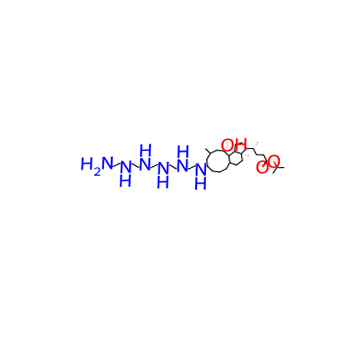 CC1C[C@@H](NCCNCCNCCNCCNCCN)CCCC2CC[C@@]3(C)C(CC[C@@H]3[C@H](C)CCC(=O)OC(C)C)C2[C@@H](O)C1